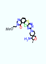 COCCn1cnc2ccc(Sc3cnc(N4CCC5(CC4)CO[C@@H](C)[C@H]5N)nn3)c(Cl)c2c1=O